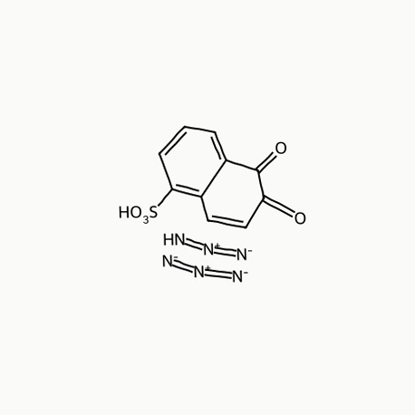 O=C1C=Cc2c(cccc2S(=O)(=O)O)C1=O.[N-]=[N+]=N.[N-]=[N+]=[N-]